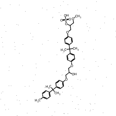 COCC(COc1ccc(C(C)(C)c2ccc(OCC(O)COc3ccc(C(C)(C)c4ccc(C)cc4)cc3)cc2)cc1)OS(=O)(=O)O